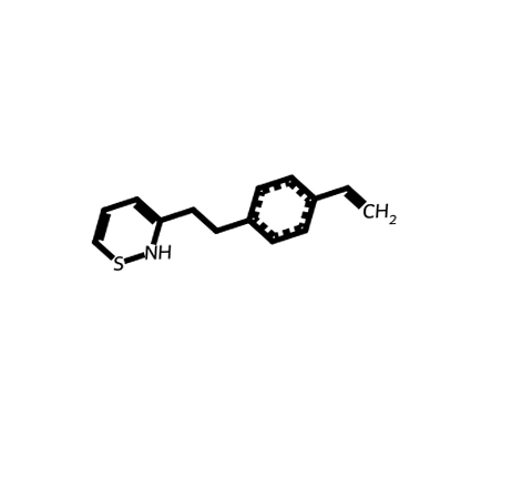 C=Cc1ccc(CCC2=CC=CSN2)cc1